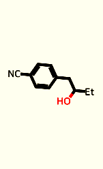 CCC(O)Cc1ccc(C#N)cc1